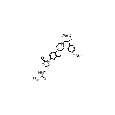 CO/N=C(\CN1CCN(c2ccc(N3C[C@H](CNC(C)=S)OC3=O)cc2F)CC1)c1ccc(OC)cc1